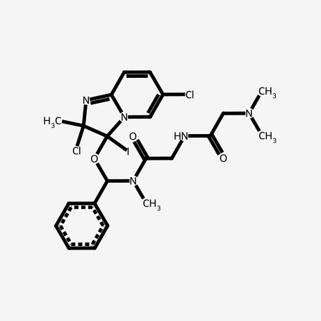 CN(C)CC(=O)NCC(=O)N(C)C(OC1(I)N2C=C(Cl)C=CC2=NC1(C)Cl)c1ccccc1